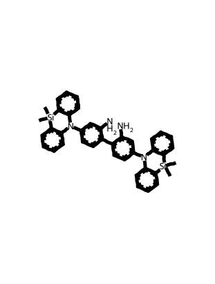 C[Si]1(C)c2ccccc2N(c2ccc(-c3ccc(N4c5ccccc5[Si](C)(C)c5ccccc54)cc3N)c(N)c2)c2ccccc21